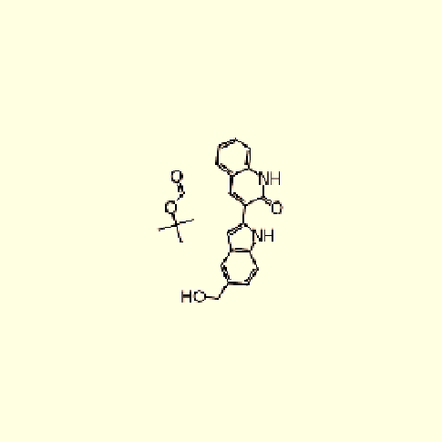 CC(C)(C)OC=O.O=c1[nH]c2ccccc2cc1-c1cc2cc(CO)ccc2[nH]1